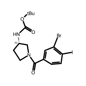 CC(C)(C)OC(=O)N[C@H]1CCN(C(=O)c2ccc(I)c(Br)c2)C1